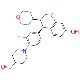 O=CC1CCN(c2ccc([C@@H]3c4ccc(O)cc4OC[C@@H]3C3CCOCC3)cc2F)CC1